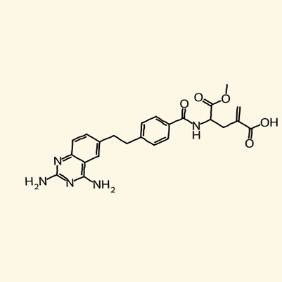 C=C(CC(NC(=O)c1ccc(CCc2ccc3nc(N)nc(N)c3c2)cc1)C(=O)OC)C(=O)O